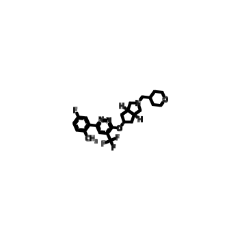 Cc1ccc(F)cc1-c1cc(C(F)(F)F)c(O[C@H]2C[C@@H]3CN(CC4CCOCC4)C[C@@H]3C2)nn1